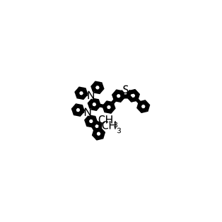 CC1(C)c2ccccc2-c2ccc(N(c3ccccc3)c3cc(-c4cccc(-c5ccc6sc7ccc(-c8ccccc8)cc7c6c5)c4)cc(N(c4ccccc4)c4ccccc4)c3)cc21